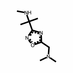 CNC(C)(C)c1noc(CN(C)C)n1